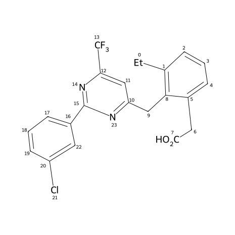 CCc1cccc(CC(=O)O)c1Cc1cc(C(F)(F)F)nc(-c2cccc(Cl)c2)n1